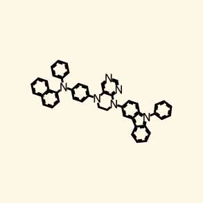 c1ccc(N(c2ccc(N3CCN(c4ccc5c(c4)c4ccccc4n5-c4ccccc4)c4ncncc43)cc2)c2cccc3ccccc23)cc1